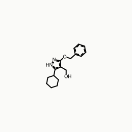 OCc1c(OCc2ccccc2)n[nH]c1C1CCCCC1